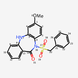 COc1ccc2c(c1)Nc1ccccc1C(=O)N2S(=O)(=O)Cc1ccccc1